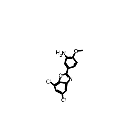 COc1ccc(-c2nc3cc(Cl)cc(Cl)c3o2)cc1N